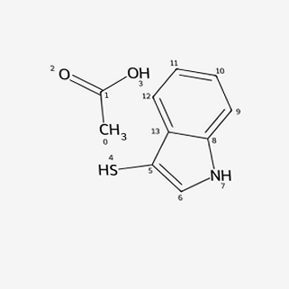 CC(=O)O.Sc1c[nH]c2ccccc12